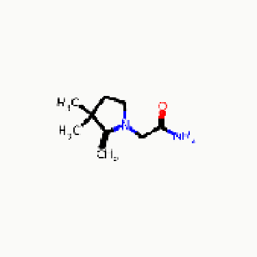 C=C1N(CC(N)=O)CCC1(C)C